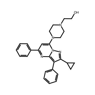 OCCN1CCN(c2cc(-c3ccccc3)nc3c(-c4ccccc4)c(C4CC4)nn23)CC1